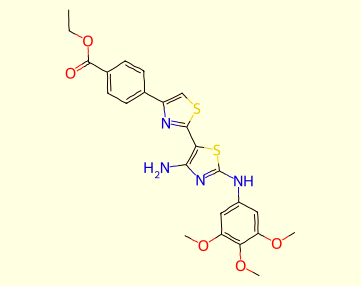 CCOC(=O)c1ccc(-c2csc(-c3sc(Nc4cc(OC)c(OC)c(OC)c4)nc3N)n2)cc1